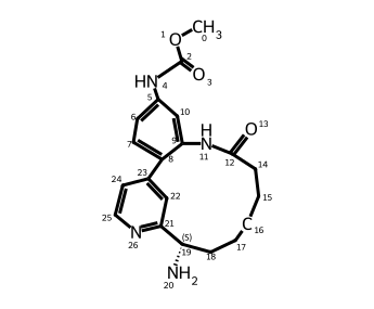 COC(=O)Nc1ccc2c(c1)NC(=O)CCCCC[C@H](N)c1cc-2ccn1